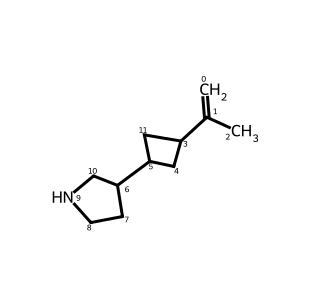 C=C(C)C1CC(C2CCNC2)C1